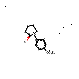 CCOC(=O)c1ccc(C2CCCCC2=O)cc1